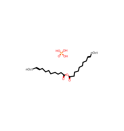 CCCCCCCCC=CCCCCCCCC(=O)OC(=O)CCCCCCCC=CCCCCCCCC.O=P(O)(O)O